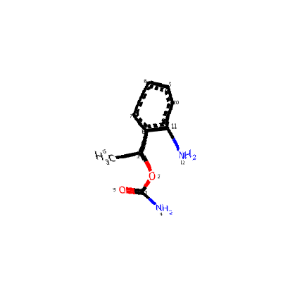 CC(OC(N)=O)c1ccccc1N